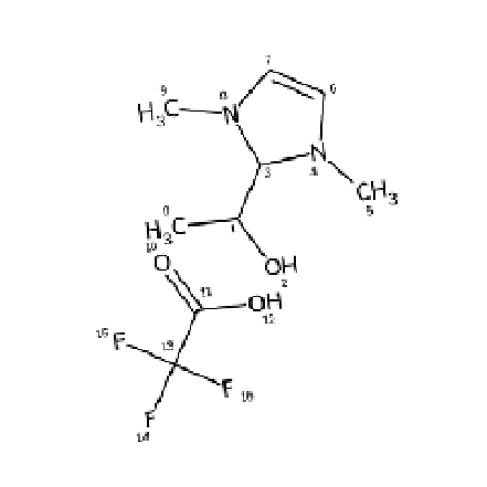 CC(O)C1N(C)C=CN1C.O=C(O)C(F)(F)F